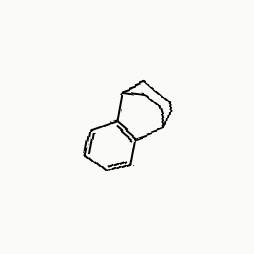 [c]1cccc2c1C1CCC2CC1